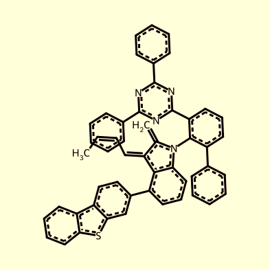 C=c1/c(=C\C=C/C)c2c(-c3ccc4c(c3)sc3ccccc34)cccc2n1-c1c(-c2ccccc2)cccc1-c1nc(-c2ccccc2)nc(-c2ccccc2)n1